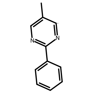 Cc1[c]nc(-c2ccccc2)nc1